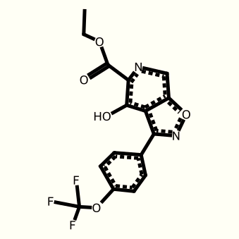 CCOC(=O)c1ncc2onc(-c3ccc(OC(F)(F)F)cc3)c2c1O